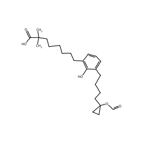 CC(C)(CCCCCCc1cccc(CCCCC2(OC=O)CC2)c1O)C(=O)O